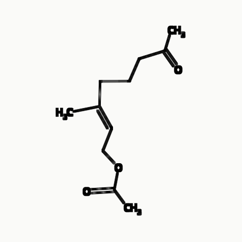 CC(=O)CCCC(C)=CCOC(C)=O